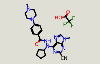 CN1CCN(c2ccc(C(=O)NN(c3nc(C#N)nc4c3ncn4C)C3CCCC3)cc2)CC1.O=C(O)C(F)(F)F